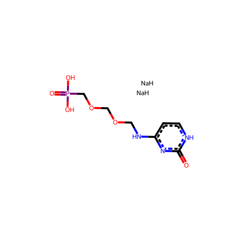 O=c1nc(NCOCOCP(=O)(O)O)cc[nH]1.[NaH].[NaH]